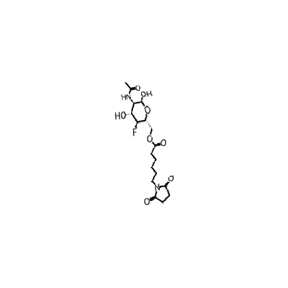 CC(=O)N[C@H]1C(O)O[C@H](COC(=O)CCCCCN2C(=O)CCC2=O)[C@@H](F)[C@@H]1O